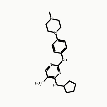 CN1CCN(c2ccc(Nc3ncc(C(=O)O)c(NC4CCCC4)n3)cc2)CC1